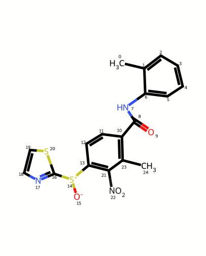 Cc1ccccc1NC(=O)c1ccc([S+]([O-])c2nccs2)c([N+](=O)[O-])c1C